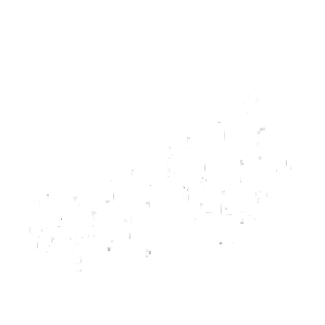 CCC(N(NC(=O)c1ccc(B2OC(C)(C)C(C)(C)O2)c(C(Br)Br)c1)C(=O)c1cc(C)cc(C)c1)C(C)(C)C